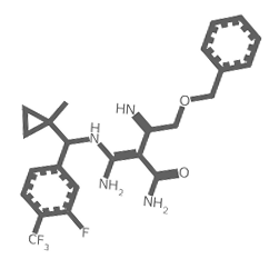 CC1(C(N/C(N)=C(\C(=N)COCc2ccccc2)C(N)=O)c2ccc(C(F)(F)F)c(F)c2)CC1